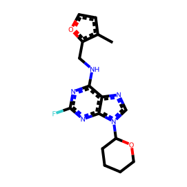 Cc1ccoc1CNc1nc(F)nc2c1ncn2C1CCCCO1